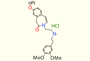 CCCOc1ccc2c(c1)CC(=O)N(CCN(C)CCc1ccc(OC)c(OC)c1)C=C2.Cl